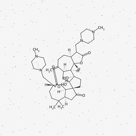 C=C1CC[C@H]2C(CN3CCN(C)CC3)C(=O)O[C@@H]2[C@@H]2[C@H]1C[C@@]1(O)[C@]2(O)CC[C@]12C(=O)C[C@@H]1[C@H]2[C@H]2OC(=O)C(CN3CCN(C)CC3)[C@@H]2CCC1(C)C